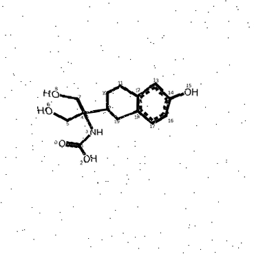 O=C(O)NC(CO)(CO)C1CCc2cc(O)ccc2C1